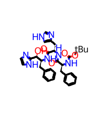 CC(C)(C)OC(=O)N[C@@H](Cc1ccccc1)C(=O)N[C@@H](Cc1c[nH]cn1)C(=O)N[C@@H](Cc1ccccc1)[C@@H](O)c1ncc[nH]1